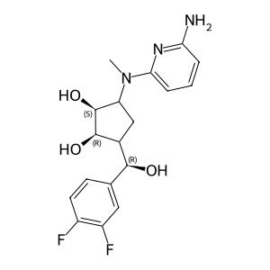 CN(c1cccc(N)n1)C1CC([C@@H](O)c2ccc(F)c(F)c2)[C@@H](O)[C@H]1O